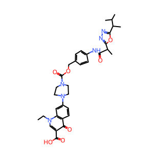 CCn1cc(C(=O)O)c(=O)c2ccc(N3CCN(C(=O)OCc4ccc(NC(=O)C(C)c5nnc(C(C)C(C)C)o5)cc4)CC3)cc21